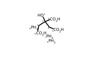 O=C(O)CC(O)(CC(=O)O)C(=O)O.P.P.P